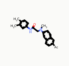 CC(=O)c1ccc2cc(N(C)CC(=O)Nc3ccc(C)c(C)c3)ccc2c1